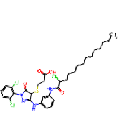 CCCCCCCCCCCCC(Cl)C(=O)Nc1cccc(NC2=NN(c3c(Cl)cc(Cl)cc3Cl)C(=O)C2SCCC(=O)O)c1